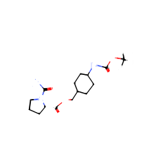 CC(C)(C)OC(=O)NC1CCC(COC(=O)[C@@H]2CCCN2C(N)=O)CC1